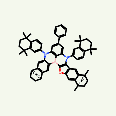 CC1(C)CCC(C)(C)c2cc(N3c4cc5c(cc4B4c6oc7cc8c(cc7c6N(c6ccc7c(c6)C(C)(C)CCC7(C)C)c6cc(-c7ccccc7)cc3c64)C3(C)CCC8(C)CC3)C3CCC5CC3)ccc21